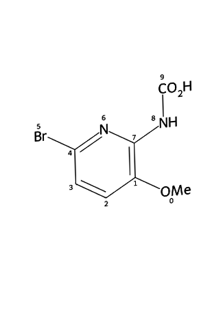 COc1ccc(Br)nc1NC(=O)O